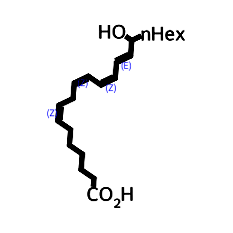 CCCCCCC(O)/C=C/C=C\C=C/C/C=C\CCCCCC(=O)O